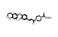 COC(=O)N1CCN(C(=O)/C=C/c2ccc(Sc3ccc4c(c3)CCOO4)c(C(F)(F)F)c2)CC1